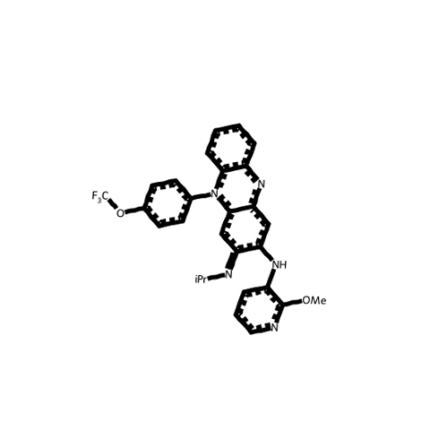 COc1ncccc1Nc1cc2nc3ccccc3n(-c3ccc(OC(F)(F)F)cc3)c-2cc1=NC(C)C